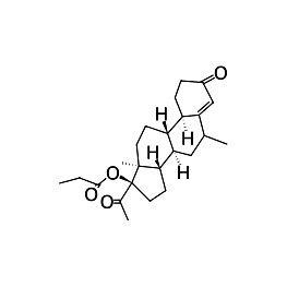 CCC(=O)O[C@]1(C(C)=O)CC[C@H]2[C@@H]3CC(C)C4=CC(=O)CC[C@@H]4[C@H]3CC[C@@]21C